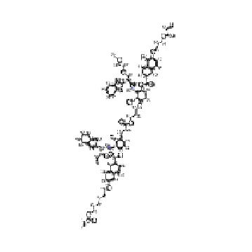 C=CC(=O)OCCCCCCOc1ccc2cc(C(=O)Oc3ccc(CCC(=O)OCCCOc4ccc(OC(=O)c5ccc6c(F)c(OCCCOC(=O)C=C)ccc6c5)c(/C=N/N(COCCOC)c5nc6ccccc6s5)c4Cl)c(F)c3/C=N/N(C(=O)C=C)c3nc4ccccc4s3)ccc2c1